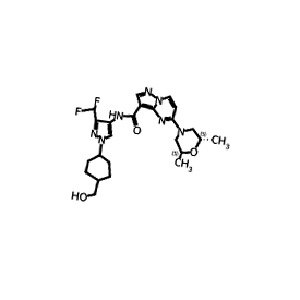 C[C@H]1CN(c2ccn3ncc(C(=O)Nc4cn(C5CCC(CO)CC5)nc4C(F)F)c3n2)C[C@H](C)O1